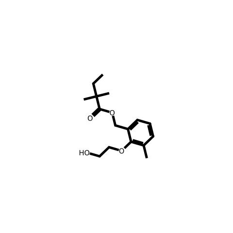 CCC(C)(C)C(=O)OCc1cccc(C)c1OCCO